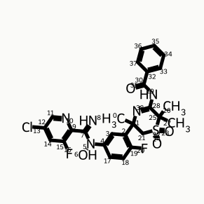 CC1(c2cc(N(O)C(=N)c3ncc(Cl)cc3F)ccc2F)CS(=O)(=O)C(C)(C)C(NC(=O)c2ccccc2)=N1